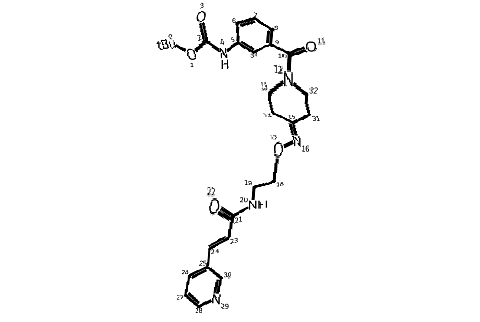 CC(C)(C)OC(=O)Nc1cccc(C(=O)N2CCC(=NOCCNC(=O)/C=C/c3cccnc3)CC2)c1